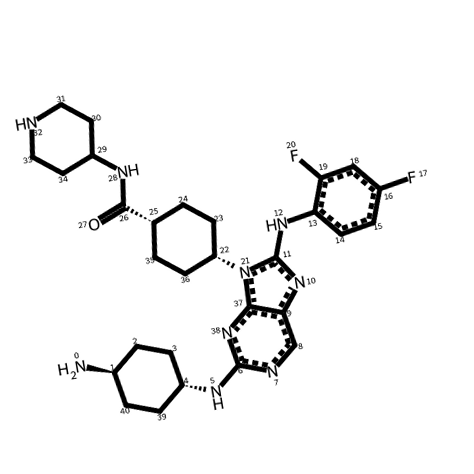 N[C@H]1CC[C@H](Nc2ncc3nc(Nc4ccc(F)cc4F)n([C@H]4CC[C@@H](C(=O)NC5CCNCC5)CC4)c3n2)CC1